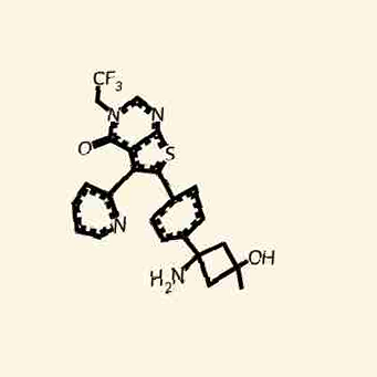 CC1(O)CC(N)(c2ccc(-c3sc4ncn(CC(F)(F)F)c(=O)c4c3-c3ccccn3)cc2)C1